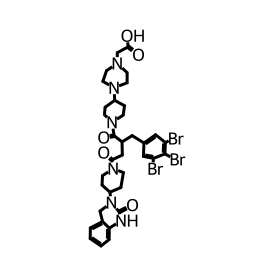 O=C(O)CN1CCN(C2CCN(C(=O)C(CC(=O)N3CCC(N4Cc5ccccc5NC4=O)CC3)Cc3cc(Br)c(Br)c(Br)c3)CC2)CC1